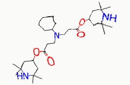 CC1(C)CC(OC(=O)CCN(CCC(=O)OC2CC(C)(C)NC(C)(C)C2)C2CCCCC2)CC(C)(C)N1